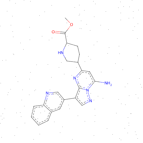 COC(=O)C1CCC(c2cc(N)n3ncc(-c4cnc5ccccc5c4)c3n2)CN1